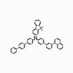 CC1(C)c2ccccc2-c2ccc(N(c3ccc(-c4ccc(-c5ccccc5)cc4)cc3)c3ccc(-c4cccc(-c5cccc6ccccc56)c4)cc3)cc21